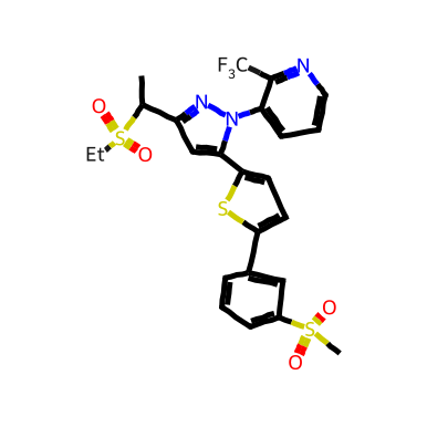 CCS(=O)(=O)C(C)c1cc(-c2ccc(-c3cccc(S(C)(=O)=O)c3)s2)n(-c2cccnc2C(F)(F)F)n1